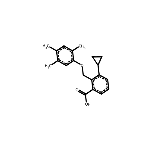 Cc1cc(C)c(OCc2c(C(=O)O)cccc2C2CC2)cc1C